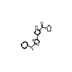 CN(c1ccccc1)c1nc(-c2c[nH]c(C(=O)N3CCCC3)c2)cs1